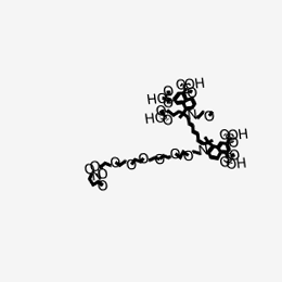 COCCN1c2ccc3c(S(=O)(=O)O)cc(S(=O)(=O)O)cc3c2C(C)(CCCS(=O)(=O)O)C1/C=C/C=C/C=C1/N(CCOCCOCCOCCOCCOCCOCCC(=O)ON2C(=O)CCC2=O)c2ccc3c(S(=O)(=O)O)cc(S(=O)(=O)O)cc3c2C1(C)C